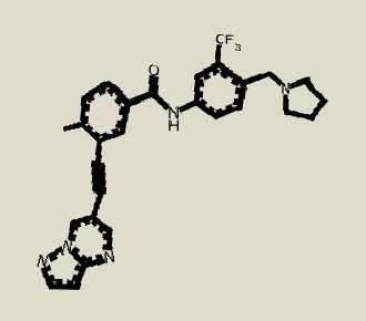 Cc1ccc(C(=O)Nc2ccc(CN3CCCC3)c(C(F)(F)F)c2)cc1C#Cc1cnc2ccnn2c1